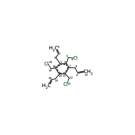 C=CCc1c(CCl)c(CC=C)c(CCl)c(CC=C)c1CCl